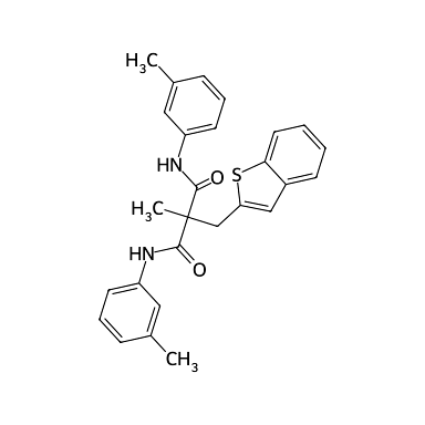 Cc1cccc(NC(=O)C(C)(Cc2cc3ccccc3s2)C(=O)Nc2cccc(C)c2)c1